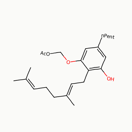 CCCCCc1cc(O)c(C/C=C(\C)CCC=C(C)C)c(OCOC(C)=O)c1